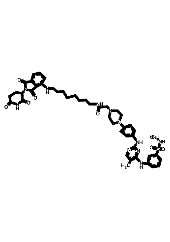 Cc1cnc(Nc2ccc(N3CCN(CC(=O)NCCCCCCCCNc4cccc5c4C(=O)N(C4CCC(=O)NC4=O)C5=O)CC3)cc2)nc1Nc1cccc(S(=O)(=O)NC(C)(C)C)c1